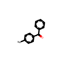 O=C(c1ccccc1)c1cc[c]([Na])cc1